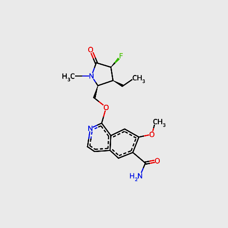 CC[C@@H]1[C@H](F)C(=O)N(C)[C@@H]1COc1nccc2cc(C(N)=O)c(OC)cc12